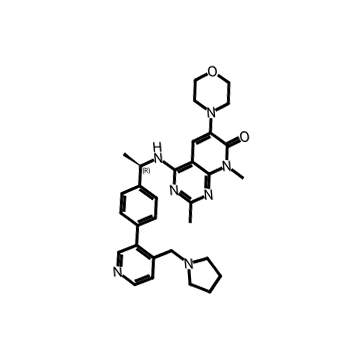 Cc1nc(N[C@H](C)c2ccc(-c3cnccc3CN3CCCC3)cc2)c2cc(N3CCOCC3)c(=O)n(C)c2n1